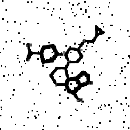 Cc1cc2c(c3cc[nH]c13)C(N1CC[C@H](OCC3CC3)C[C@H]1c1ccc(C(=O)O)cc1)CCS2